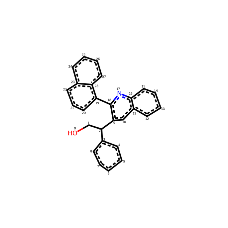 OCC(c1ccccc1)c1cc2ccccc2nc1-c1cccc2ccccc12